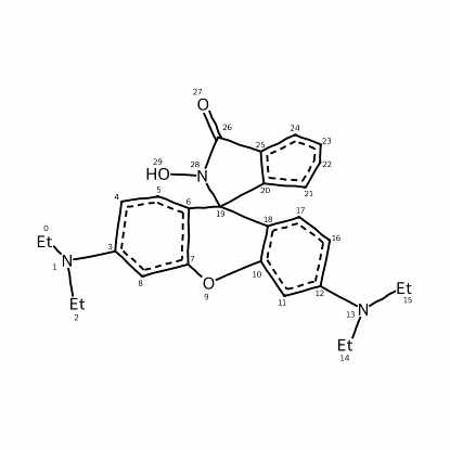 CCN(CC)c1ccc2c(c1)Oc1cc(N(CC)CC)ccc1C21c2ccccc2C(=O)N1O